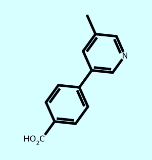 Cc1cncc(-c2ccc(C(=O)O)cc2)c1